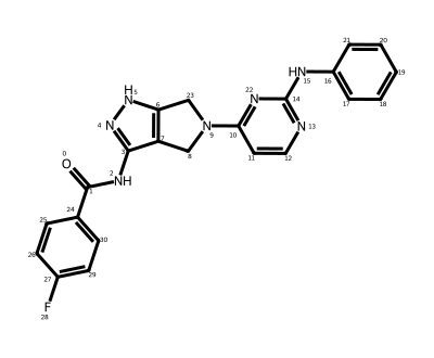 O=C(Nc1n[nH]c2c1CN(c1ccnc(Nc3ccccc3)n1)C2)c1ccc(F)cc1